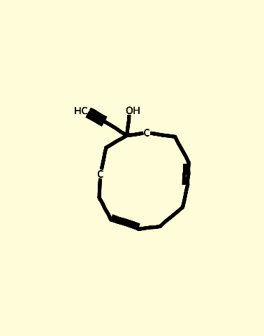 C#CC1(O)CCC=CCCC=CCCC1